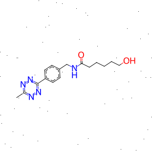 Cc1nnc(-c2ccc(CNC(=O)CCCCCO)cc2)nn1